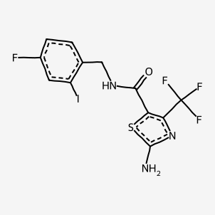 Nc1nc(C(F)(F)F)c(C(=O)NCc2ccc(F)cc2I)s1